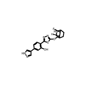 Oc1cc(-c2cn[nH]c2)ccc1-c1nnc(O[C@H]2C3CCC(NC3)C2F)s1